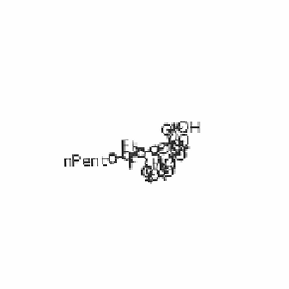 C=C(C)C(=O)OCCCc1cc(-c2cc(CC)c(-c3ccc(C4CCC(CCCCC)CC4)cc3F)cc2CCCOC(=O)C(=C)C)ccc1OCC(COC(=O)C(=C)C)(COC(=O)C(=C)CO)COC(=O)C(=C)CO